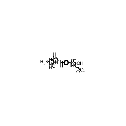 CCOC(=O)CCC(NC(=O)c1ccc(NC[C@H]2CNc3nc(N)[nH]c(=O)c3N2C)cc1)C(=O)O